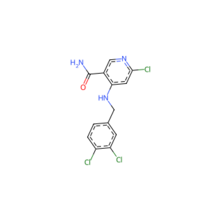 NC(=O)c1cnc(Cl)cc1NCc1ccc(Cl)c(Cl)c1